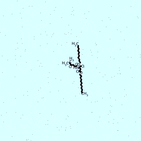 CCCCCCCCCCCCOC(=O)CC(NC(=O)CCC(=O)C(C)C)C(=O)OCCCCCCCCCCCC